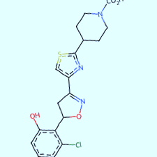 O=C(O)N1CCC(c2nc(C3=NOC(c4c(O)cccc4Cl)C3)cs2)CC1